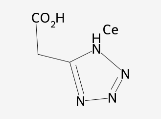 O=C(O)Cc1nnn[nH]1.[Ce]